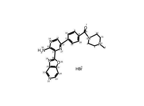 Br.CN1CCN(C(=O)c2ccc(-c3cnc(N)c(-c4nc5cnccc5o4)n3)cc2)CC1